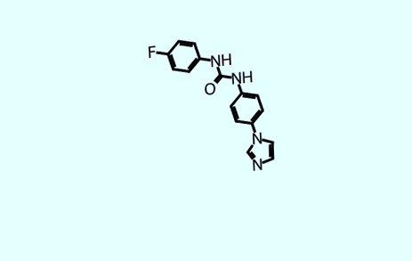 O=C(Nc1ccc(F)cc1)Nc1ccc(-n2ccnc2)cc1